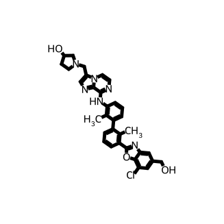 Cc1c(Nc2nccn3c(CN4CCC(O)C4)cnc23)cccc1-c1cccc(-c2nc3cc(CO)cc(Cl)c3o2)c1C